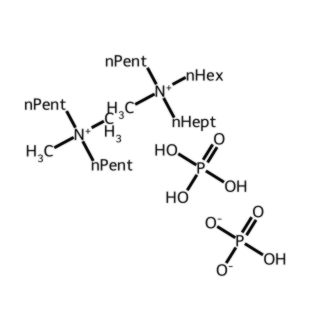 CCCCCCC[N+](C)(CCCCC)CCCCCC.CCCCC[N+](C)(C)CCCCC.O=P(O)(O)O.O=P([O-])([O-])O